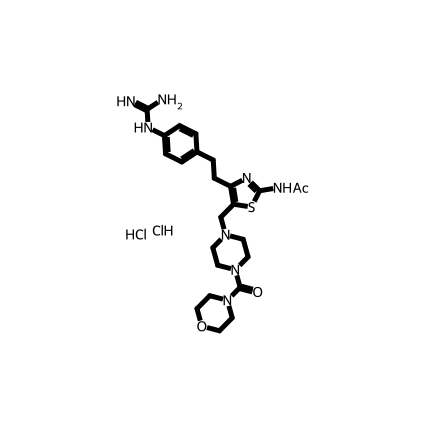 CC(=O)Nc1nc(CCc2ccc(NC(=N)N)cc2)c(CN2CCN(C(=O)N3CCOCC3)CC2)s1.Cl.Cl